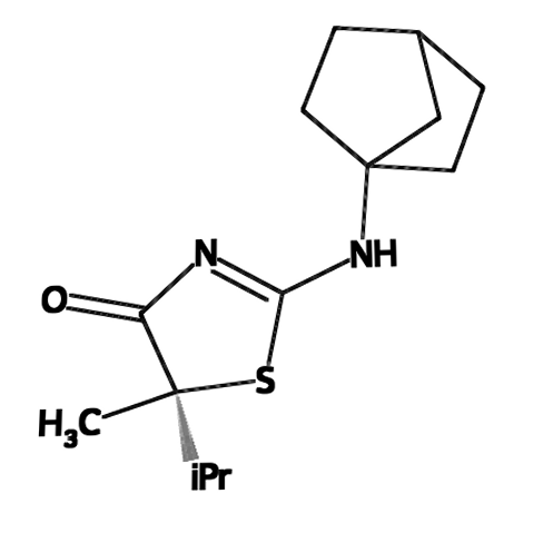 CC(C)[C@@]1(C)SC(NC23CCC(CC2)C3)=NC1=O